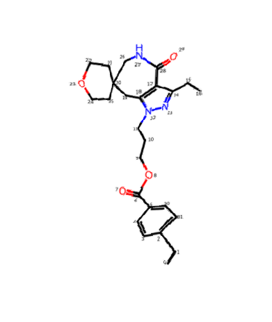 CCc1ccc(C(=O)OCCCn2nc(CC)c3c2CC2(CCOCC2)CNC3=O)cc1